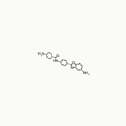 Nc1ccc(C(=O)Nc2ccc(-c3nc4cc(N)ccc4o3)cc2)cc1